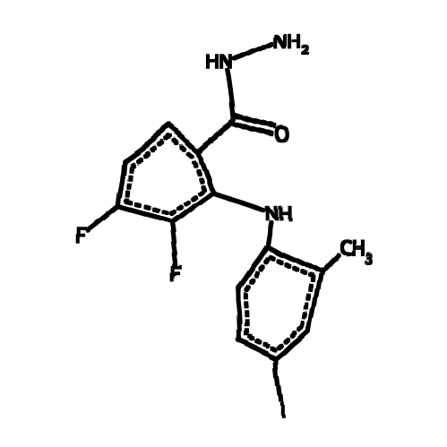 Cc1cc(I)ccc1Nc1c(C(=O)NN)ccc(F)c1F